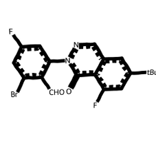 CC(C)(C)c1cc(F)c2c(=O)n(-c3cc(F)cc(Br)c3C=O)ncc2c1